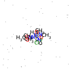 COCc1nc(N2CCN(C(=O)OC(C)(C)C)CC2)c2cc(Cl)c(-c3ccccc3F)nc2c1C(=O)N1C(C)CC[C@@H]1C